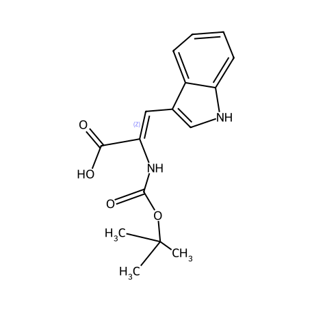 CC(C)(C)OC(=O)N/C(=C\c1c[nH]c2ccccc12)C(=O)O